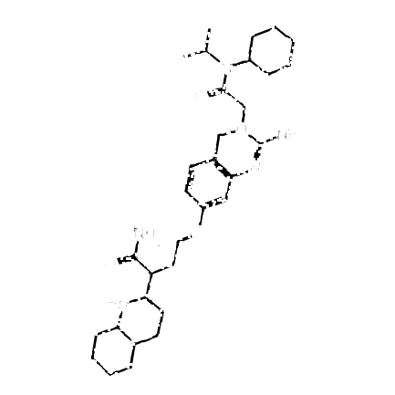 CC(C)N(C(=O)CN1Cc2ccc(OCCC(C(N)=O)C3CCC4CCCCC4N3)cc2N=C1N)C1CCCCC1